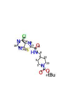 CC(C)(C)OC(=O)N1CCC(CNC(=O)c2nc3c(Cl)ncnc3s2)CC1